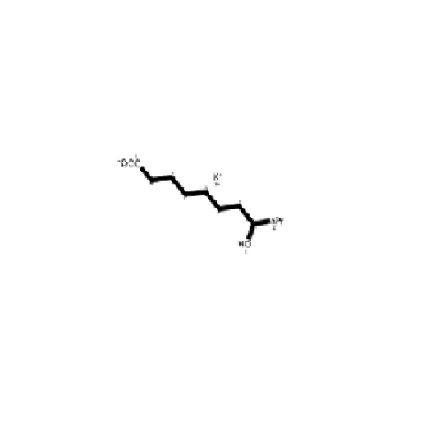 CCCC(O)CCCCCCC(=O)[O-].[K+]